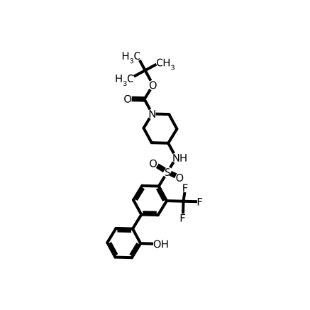 CC(C)(C)OC(=O)N1CCC(NS(=O)(=O)c2ccc(-c3ccccc3O)cc2C(F)(F)F)CC1